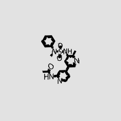 CC(=O)Nc1cc(-c2cnc(C)c(NS(=O)(=O)N(C)c3ccccc3)c2)ccn1